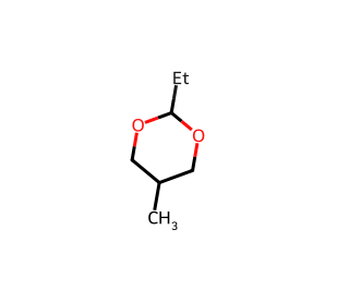 CCC1OCC(C)CO1